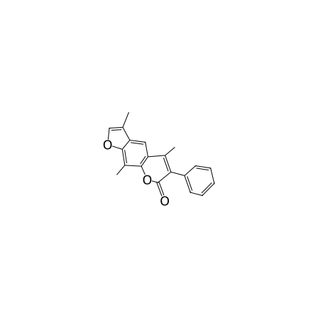 Cc1coc2c(C)c3oc(=O)c(-c4ccccc4)c(C)c3cc12